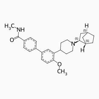 CNC(=O)c1ccc(-c2ccc(OC)c(C3CCN([C@H]4C[C@H]5CC[C@H]4C5)CC3)c2)cc1